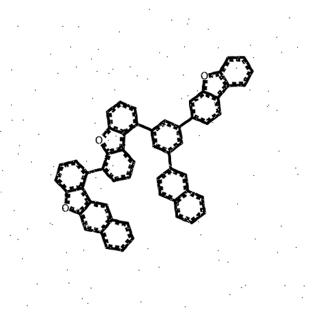 c1ccc2cc(-c3cc(-c4ccc5c(c4)oc4ccccc45)cc(-c4cccc5oc6c(-c7cccc8oc9cc%10ccccc%10cc9c78)cccc6c45)c3)ccc2c1